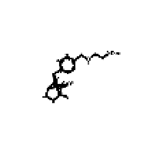 CCCCCCCCCCCCOCc1ccc(C=C2C(=O)C3(C)CCC2C3(C)C)cc1